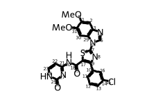 COc1cc2ncn(-c3nc(-c4cccc(Cl)c4)c(C(=O)Nc4cc[nH]c(=O)n4)s3)c2cc1OC